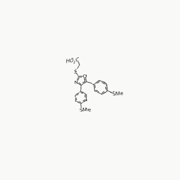 CSc1ccc(-c2nc(SCC(=O)O)oc2-c2ccc(SC)cc2)cc1